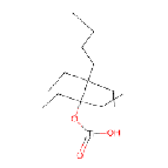 CCCCC(CC)(CC)C(CC)(CC)[O][Ti](=[O])[OH]